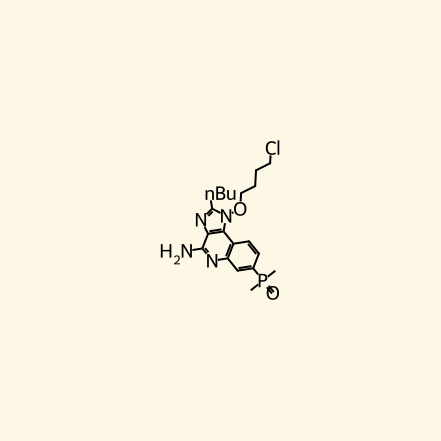 CCCCc1nc2c(N)nc3cc(P(C)(C)=O)ccc3c2n1OCCCCCl